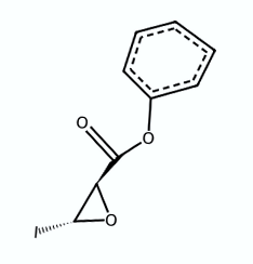 O=C(Oc1ccccc1)[C@H]1O[C@@H]1I